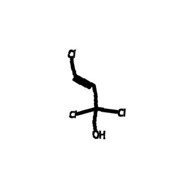 OC(Cl)(Cl)C=CCl